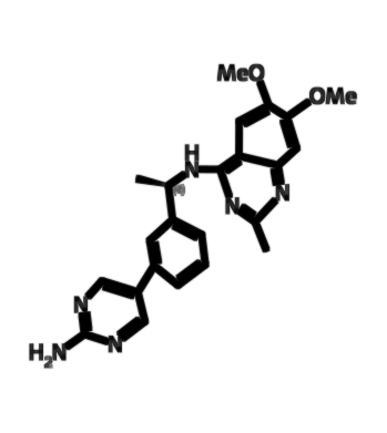 COc1cc2nc(C)nc(N[C@H](C)c3cccc(-c4cnc(N)nc4)c3)c2cc1OC